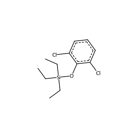 CC[Si](CC)(CC)Oc1c(Cl)cccc1Cl